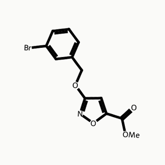 COC(=O)c1cc(OCc2cccc(Br)c2)no1